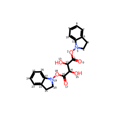 O=C(ON1CCc2ccccc21)C(O)C(O)C(=O)ON1CCc2ccccc21